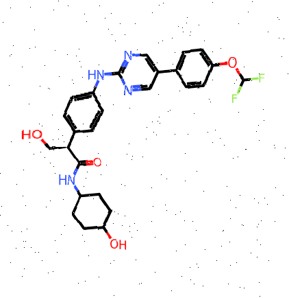 O=C(NC1CCC(O)CC1)[C@@H](CO)c1ccc(Nc2ncc(-c3ccc(OC(F)F)cc3)cn2)cc1